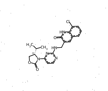 CC(C)[C@H]1COC(=O)N1c1ccnc(NCc2cc3cccc(Cl)c3[nH]c2=O)n1